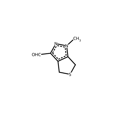 Cn1nc(C=O)c2c1CSC2